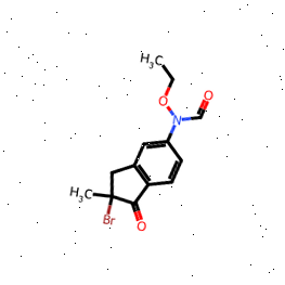 CCON(C=O)c1ccc2c(c1)CC(C)(Br)C2=O